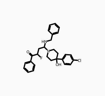 O=C(c1ccccc1)C(F)CC(NCc1ccccc1)N1CCC(O)(c2ccc(Cl)cc2)CC1